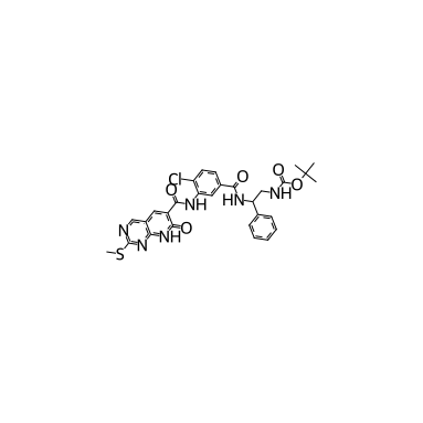 CSc1ncc2cc(C(=O)Nc3cc(C(=O)NC(CNC(=O)OC(C)(C)C)c4ccccc4)ccc3Cl)c(=O)[nH]c2n1